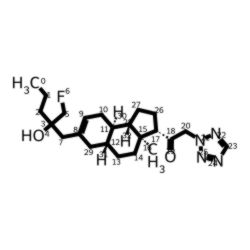 CCCC(O)(CF)CC1=CC[C@@H]2[C@H](CC[C@]3(C)[C@@H](C(=O)Cn4ncnn4)CC[C@@H]23)C1